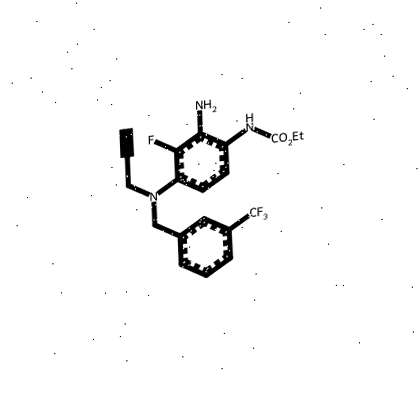 C#CCN(Cc1cccc(C(F)(F)F)c1)c1ccc(NC(=O)OCC)c(N)c1F